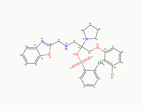 Cc1ccccc1S(=O)(=O)OC(CNCc1nc2ccccc2o1)(COc1cccc(Cl)c1)N1CCCC1